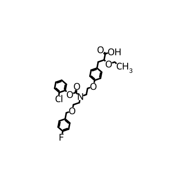 CCOC(Cc1ccc(OCCN(CCOCc2ccc(F)cc2)C(=O)Oc2ccccc2Cl)cc1)C(=O)O